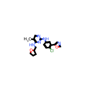 Cc1cnc(Nc2ccc(Cl)c(-c3cnco3)c2)nc1NCC1CCCO1